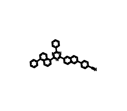 N#Cc1ccc(-c2ccc3cc(-c4nc(-c5ccccc5)nc(-c5cccc6c(-c7ccccc7)cccc56)n4)ccc3c2)cc1